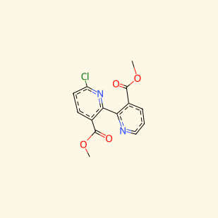 COC(=O)c1cccnc1-c1nc(Cl)ccc1C(=O)OC